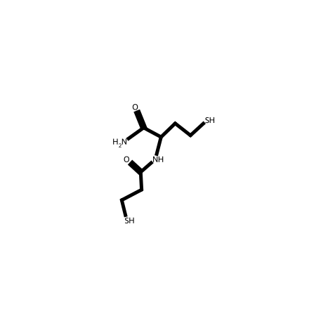 NC(=O)C(CCS)NC(=O)CCS